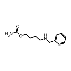 NC(=O)OCCCCNCc1ccccn1